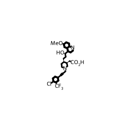 COc1ccc2nccc([C@@H](O)CC[C@@H]3CCN(CC#Cc4ccc(Cl)c(C(F)(F)F)c4)C[C@@H]3CC(=O)O)c2c1